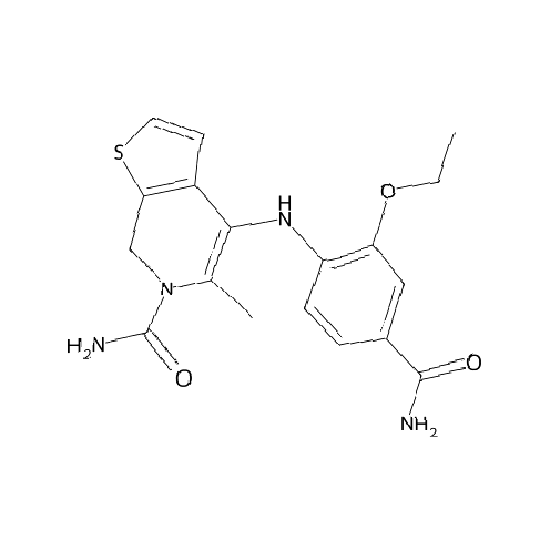 CCOc1cc(C(N)=O)ccc1NC1=C(C)N(C(N)=O)Cc2sccc21